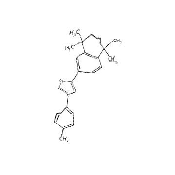 Cc1ccc(-c2coc(-c3ccc4c(c3)C(C)(C)CCC4(C)C)c2)cc1